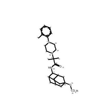 Cc1ccccc1N1CCN(C(C)(C)C(=O)NC2C3CC4CC2CC(OC(=O)O)(C4)C3)CC1